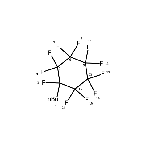 [CH2]CCCC1(F)C(F)(F)C(F)(F)C(F)(F)C(F)(F)C1(F)F